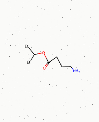 CCC(CC)OC(=O)CCCN